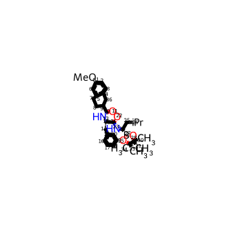 COc1ccc2c(c1)CCC(C(=O)N[C@@H](Cc1ccccc1)C(=O)NC(CC(C)C)B1OC(C)(C)C(C)(C)O1)C2